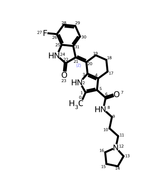 Cc1[nH]c2c(c1C(=O)NCCCN1CCCC1)CCC/C2=C1/C(=O)Nc2c(F)cccc21